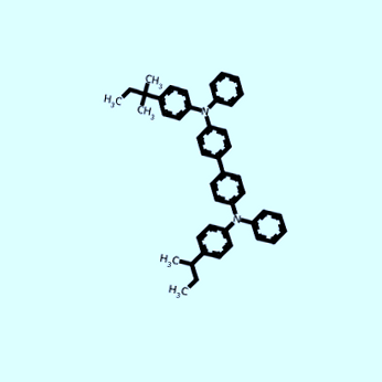 CCC(C)c1ccc(N(c2ccccc2)c2ccc(-c3ccc(N(c4ccccc4)c4ccc(C(C)(C)CC)cc4)cc3)cc2)cc1